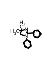 CC1(C)CN(c2ccccc2)C(c2ccccc2)=N1